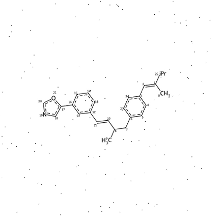 C/C(=C\c1ccc(CC(C)/C=C/c2cccc(-c3cnco3)c2)cc1)C(C)C